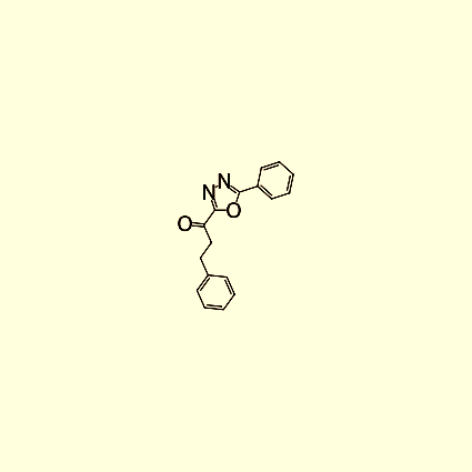 O=C(CCc1ccccc1)c1nnc(-c2ccccc2)o1